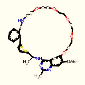 COc1cc2nc(C)nc3c2cc1OCCOCCOCCOCCOCCNCc1ccccc1-c1ccc(s1)[C@H](C)N3